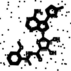 COc1ccccc1[C@H](C)NC(=O)[C@H]1O[C@@H](n2cc(-c3ccn(C)n3)c3c(N)ncnc32)[C@H](O)[C@@H]1O